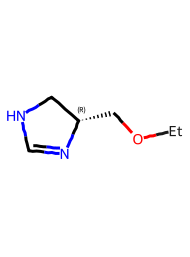 CCOC[C@H]1CNC=N1